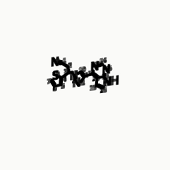 N#CCC(c1cccs1)n1cc(-c2ncnc3[nH]ccc23)cn1